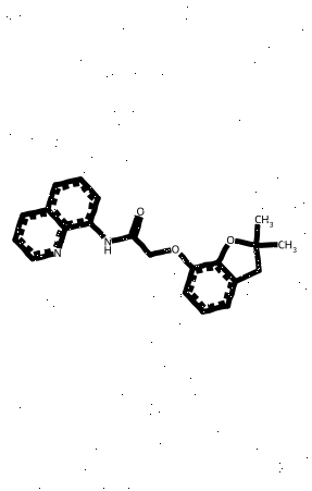 CC1(C)Cc2cccc(OCC(=O)Nc3cccc4cccnc34)c2O1